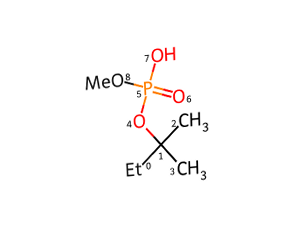 CCC(C)(C)OP(=O)(O)OC